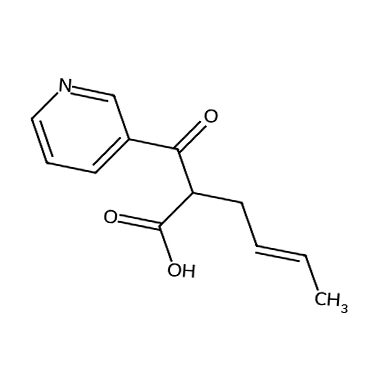 CC=CCC(C(=O)O)C(=O)c1cccnc1